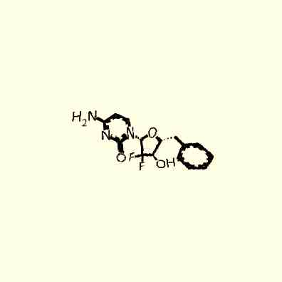 Nc1ccn([C@@H]2O[C@H](Cc3[c]cccc3)[C@@H](O)C2(F)F)c(=O)n1